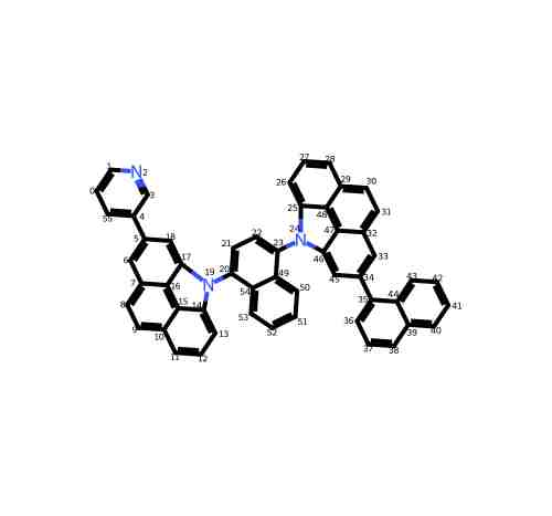 c1cncc(-c2cc3ccc4cccc5c4c3c(c2)n5-c2ccc(-n3c4cccc5ccc6cc(-c7cccc8ccccc78)cc3c6c54)c3ccccc23)c1